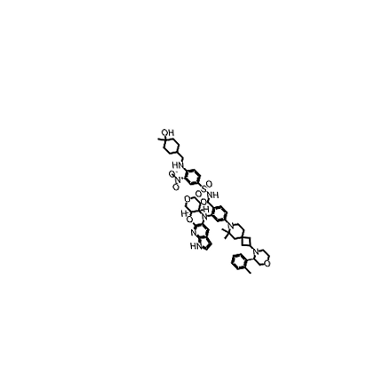 Cc1ccccc1[C@@H]1COCCN1C1CC2(CCN(c3ccc(C(=O)NS(=O)(=O)c4ccc(NCC5CCC(C)(O)CC5)c([N+](=O)[O-])c4)c(N4c5cc6cc[nH]c6nc5O[C@H]5COCC[C@@H]54)c3)C(C)(C)C2)C1